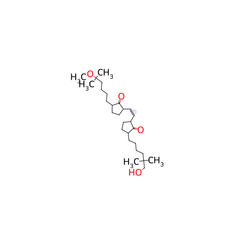 COC(C)(C)CCCCC1CCC(/C=C\C2CCC(CCCCC(C)(C)CO)C2=O)C1=O